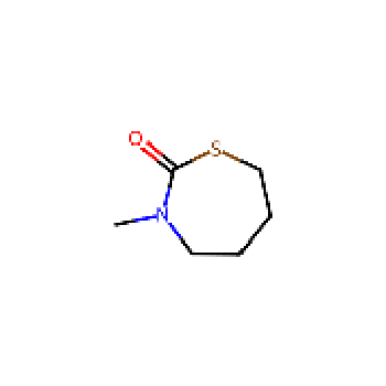 CN1CCCCSC1=O